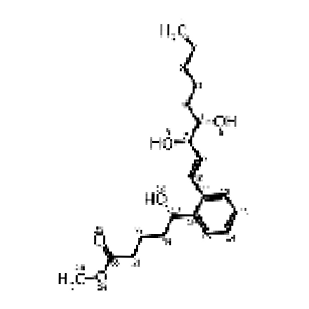 CCCCC[C@H](O)[C@H](O)/C=C/c1ccccc1[C@@H](O)CCCC(=O)OC